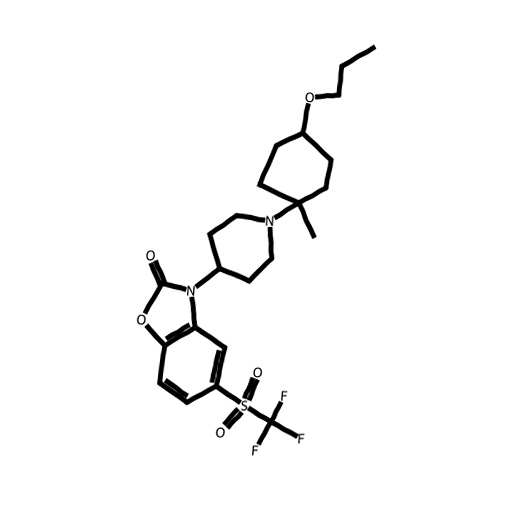 CCCOC1CCC(C)(N2CCC(n3c(=O)oc4ccc(S(=O)(=O)C(F)(F)F)cc43)CC2)CC1